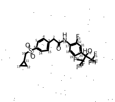 O=C(Cc1ccc(S(=O)(=O)CC2CC2)cc1)Nc1ccc(C(O)(C(F)(F)F)C(F)(F)F)cc1F